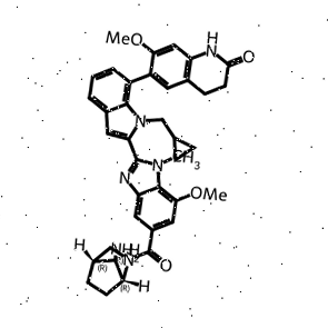 COc1cc2c(cc1-c1cccc3cc(-c4nc5cc(C(=O)N6C[C@H]7CC[C@@H]6[C@@H]7N)cc(OC)c5n4C)n(CC4CC4)c13)CCC(=O)N2